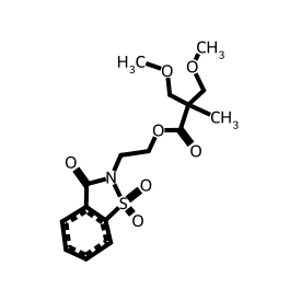 COCC(C)(COC)C(=O)OCCN1C(=O)c2ccccc2S1(=O)=O